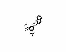 COC(=O)c1cc(OCc2ccc3ccccc3n2)cc(OC(C)C)c1